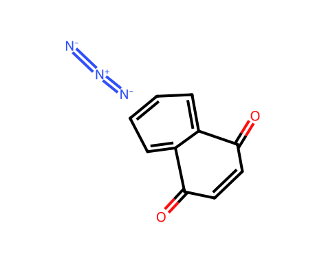 O=C1C=CC(=O)c2ccccc21.[N-]=[N+]=[N-]